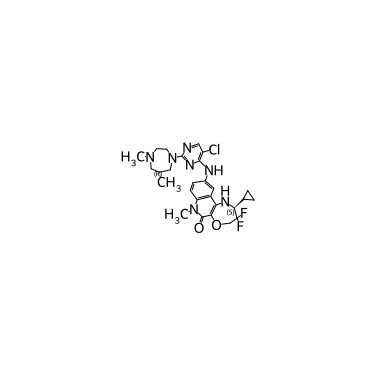 C[C@@H]1CN(C)CCN(c2ncc(Cl)c(Nc3ccc4c(c3)c3c(c(=O)n4C)OCC(F)(F)[C@H](C4CC4)N3)n2)C1